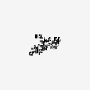 Cc1nnc([C@H]2C[C@H](O)CN2C(=O)Cc2cccc(C(F)(F)F)c2)n1Cc1ccc(Cl)cc1